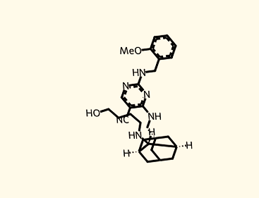 COc1ccccc1CNc1ncc(C#N)c(NC[C@@]23CC4C[C@H](C2)[C@@H](NCCCCO)[C@@H](C4)C3)n1